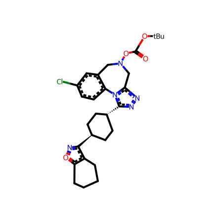 CC(C)(C)OC(=O)ON1Cc2cc(Cl)ccc2-n2c(nnc2[C@H]2CC[C@H](c3noc4c3CCCC4)CC2)C1